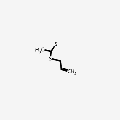 C=CCSC(C)[S]